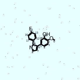 COc1ccc(-c2ccnn2-c2ccc(F)cc2)cc1O